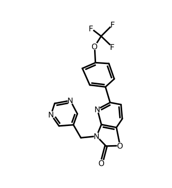 O=c1oc2ccc(-c3ccc(OC(F)(F)F)cc3)nc2n1Cc1cncnc1